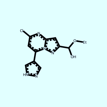 CCOC(O)c1cc2nc(Cl)cc(-c3cn[nH]c3)n2n1